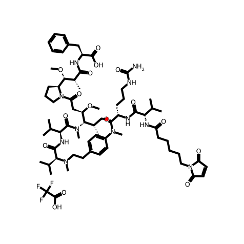 CC[C@H](C)[C@@H]([C@@H](CC(=O)N1CCC[C@H]1[C@H](OC)[C@@H](C)C(=O)N[C@@H](Cc1ccccc1)C(=O)O)OC)N(C)C(=O)[C@@H](NC(=O)[C@H](C(C)C)N(C)CCc1ccc(N(C)C(=O)[C@H](CCCNC(N)=O)NC(=O)[C@@H](NC(=O)CCCCCN2C(=O)C=CC2=O)C(C)C)cc1)C(C)C.O=C(O)C(F)(F)F